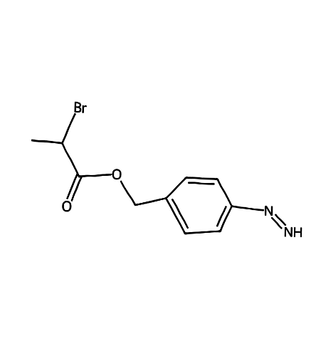 CC(Br)C(=O)OCc1ccc(N=N)cc1